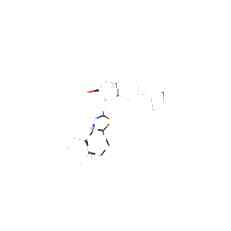 O=C1N[C@H]2CCN(C3COC3)C[C@@H]2N1c1nc2c3c(ccc2s1)OCC3